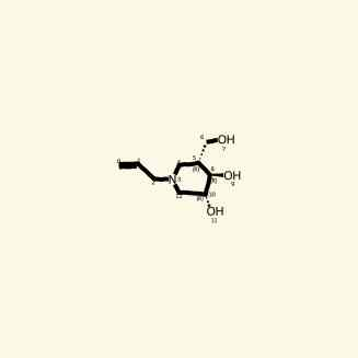 C=CCN1C[C@H](CO)[C@@H](O)[C@H](O)C1